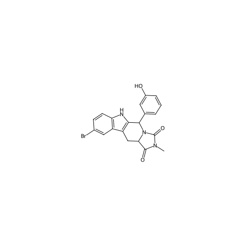 CN1C(=O)C2Cc3c([nH]c4ccc(Br)cc34)C(c3cccc(O)c3)N2C1=O